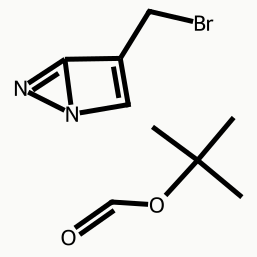 BrCc1cn2nc1-2.CC(C)(C)OC=O